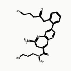 CCCN(CCCO)C(=O)C1=Cc2ccc(-c3ccccc3CC(=O)CCCC(C)C)cc2N=C(N)C1